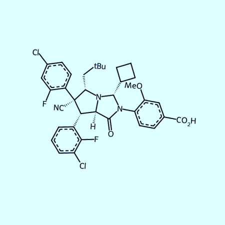 COc1cc(C(=O)O)ccc1N1C(=O)[C@H]2[C@H](c3cccc(Cl)c3F)[C@@](C#N)(c3ccc(Cl)cc3F)[C@H](CC(C)(C)C)N2[C@@H]1C1CCC1